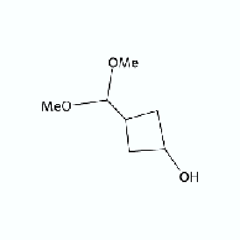 COC(OC)C1CC(O)C1